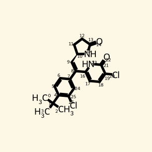 CC(C)(C)c1ccc(/C(=C/[C@H]2CCC(=O)N2)c2ccc(Cl)c(=O)[nH]2)cc1Cl